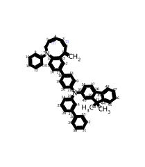 C=C1/C=C\C=C/CN(c2ccccc2)c2ccc(-c3ccc(N(c4cccc(-c5ccccc5)c4)c4ccc5c(c4)C(C)(C)c4ccccc4-5)cc3)cc21